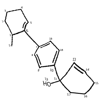 CC1CCCC=C1c1ccc(C2(O)C=CCCC2)cc1